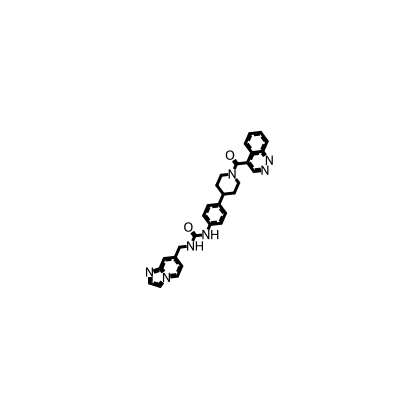 O=C(NCc1ccn2ccnc2c1)Nc1ccc(C2CCN(C(=O)c3cnnc4ccccc34)CC2)cc1